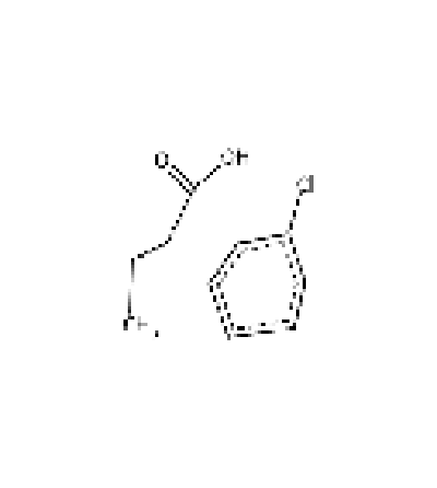 CCCC(=O)O.Clc1ccccc1